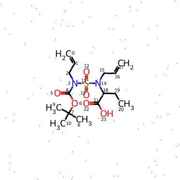 C=CCN(C(=O)OC(C)(C)C)S(=O)(=O)N(CC=C)C(CC)C(=O)O